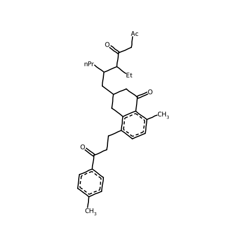 CCCC(CC1CC(=O)c2c(C)ccc(CCC(=O)c3ccc(C)cc3)c2C1)C(CC)C(=O)CC(C)=O